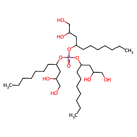 CCCCCCCC(CC(O)CO)OP(=O)(OC(CCCCCCC)CC(O)CO)OC(CCCCCCC)CC(O)CO